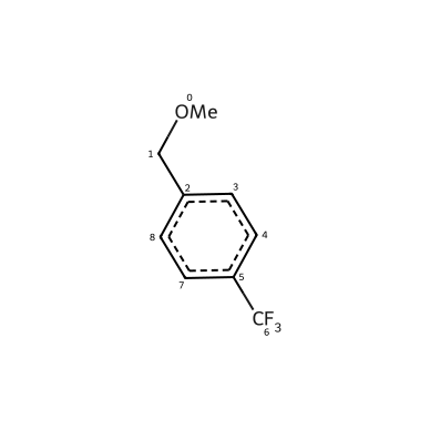 [CH2]OCc1ccc(C(F)(F)F)cc1